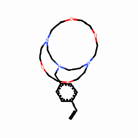 C=Cc1ccc(CN2CCN3CCOCCOCCN(CCOCCOCC3)CC2)cc1